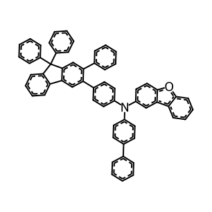 c1ccc(-c2ccc(N(c3ccc(-c4cc5c(cc4-c4ccccc4)C(c4ccccc4)(c4ccccc4)c4ccccc4-5)cc3)c3ccc4oc5ccccc5c4c3)cc2)cc1